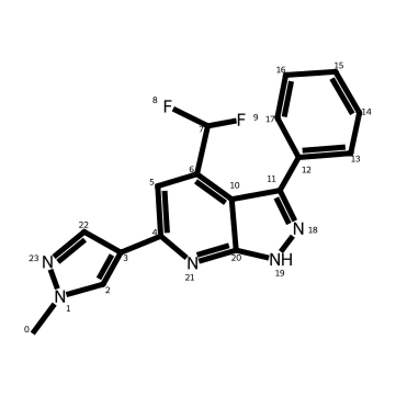 Cn1cc(-c2cc(C(F)F)c3c(-c4ccccc4)n[nH]c3n2)cn1